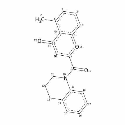 Cc1cccc2oc(C(=O)N3CCCc4ccccc43)cc(=O)c12